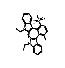 CCn1c(C)c(-c2c(C)ccc(S(C)(=O)=O)c2-c2c(C)n(CC)c3ccccc23)c2ccccc21